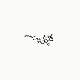 CON=C1CCC(NC(=O)N2CCN3C(Cl)=C(c4cccc(F)c4)[C@@H](C(N)=O)[C@H]3C2)CC1